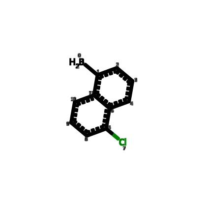 Bc1cccc2c(Cl)cccc12